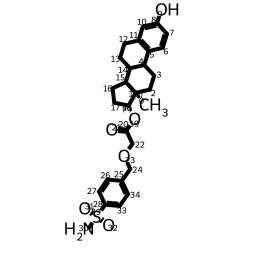 C[C@]12CCC3c4ccc(O)cc4CCC3C1CC[C@H]2OC(=O)COCc1ccc(S(N)(=O)=O)cc1